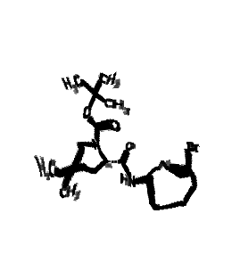 CC1(C)C[C@@H](C(=O)Nc2cccc(Br)n2)N(C(=O)OC(C)(C)C)C1